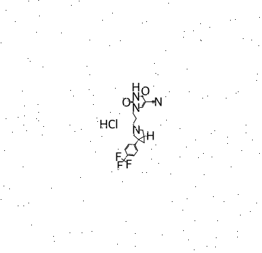 Cl.N#Cc1cn(CCCN2C[C@@H]3C[C@]3(c3ccc(C(F)(F)F)cc3)C2)c(=O)[nH]c1=O